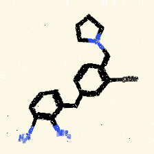 COc1cc(Cc2cccc(N)c2N)ccc1CN1CCCC1